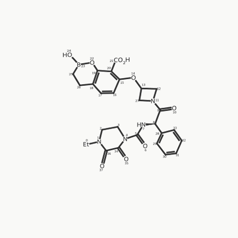 CCN1CCN(C(=O)N[C@@H](C(=O)N2CC(Oc3ccc4c(c3C(=O)O)OB(O)CC4)C2)c2ccccc2)C(=O)C1=O